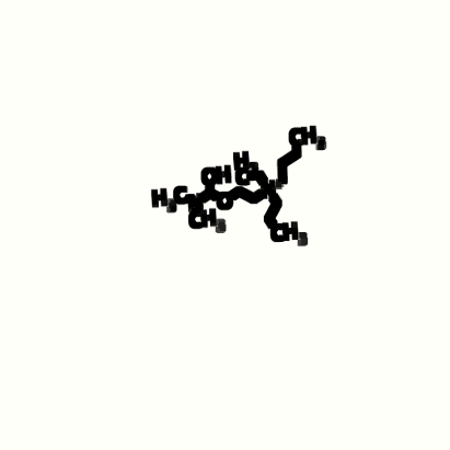 CCCC[N+](CC)(CCC)CCOC(O)N(C)C